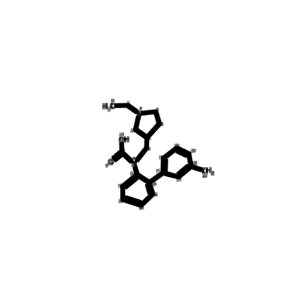 CCN1CCC(CN(C(=O)O)c2ccccc2-c2cccc(C)c2)C1